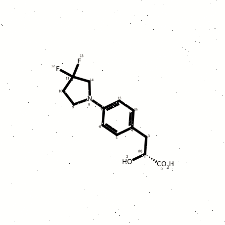 O=C(O)[C@H](O)Cc1ccc(N2CCC(F)(F)C2)cc1